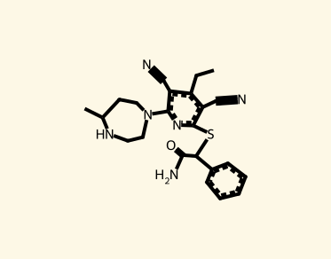 CCc1c(C#N)c(SC(C(N)=O)c2ccccc2)nc(N2CCNC(C)CC2)c1C#N